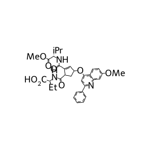 CC[C@H](NC(=O)C1CC(Oc2cc(-c3ccccc3)nc3cc(OC)ccc23)C=C1C(=O)N[C@H](C(=O)OC)C(C)C)C(=O)O